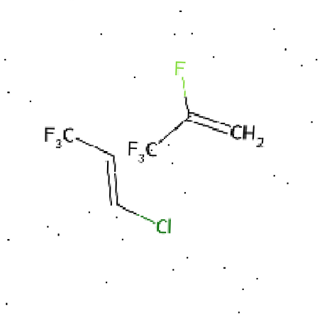 C=C(F)C(F)(F)F.FC(F)(F)C=CCl